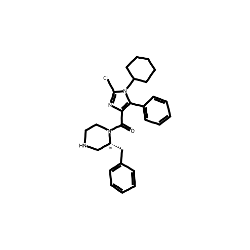 O=C(c1nc(Cl)n(C2CCCCC2)c1-c1ccccc1)N1CCNC[C@H]1Cc1ccccc1